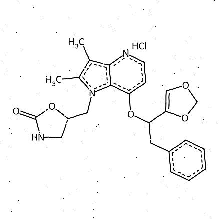 Cc1c(C)n(CC2CNC(=O)O2)c2c(OC(Cc3ccccc3)C3=COCO3)ccnc12.Cl